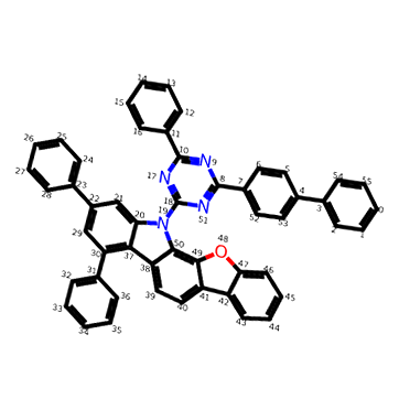 c1ccc(-c2ccc(-c3nc(-c4ccccc4)nc(-n4c5cc(-c6ccccc6)cc(-c6ccccc6)c5c5ccc6c7ccccc7oc6c54)n3)cc2)cc1